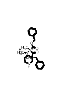 CN(C)[N+](C)(C(=O)OCc1ccccc1)C(=O)[C@@]1(Cc2ccccc2)CCCNC1.Cl